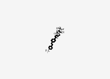 CCC(C(=O)NO)N1Cc2sc(-c3ccc(/C=C/c4ccc(C(F)(F)F)cc4)cc3)cc2S1(=O)=O